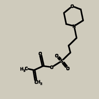 C=C(C)C(=O)OS(=O)(=O)CCCN1CCOCC1